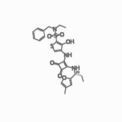 CC[C@@H](Nc1c(Nc2csc(S(=O)(=O)N(CC)Cc3ccccc3)c2O)c(=O)c1=O)c1cc(C)co1